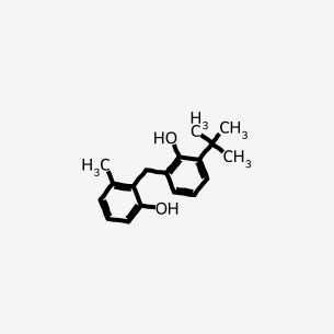 Cc1cccc(O)c1Cc1cccc(C(C)(C)C)c1O